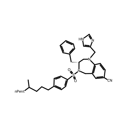 CCCCCC(C)CCCc1ccc(S(=O)(=O)N2Cc3cc(C#N)ccc3N(Cc3c[nH]cn3)C[C@H]2Cc2ccccc2)cc1